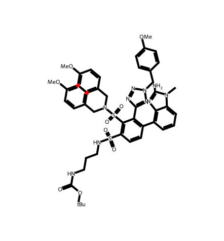 COc1ccc(CN(Cc2ccc(OC)cc2)S(=O)(=O)c2c(S(=O)(=O)NCCCNC(=O)OC(C)(C)C)ccc(-c3cccc4c3nc(N)n4C)c2-c2nnn(Cc3ccc(OC)cc3)n2)cc1